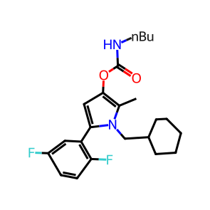 CCCCNC(=O)Oc1cc(-c2cc(F)ccc2F)n(CC2CCCCC2)c1C